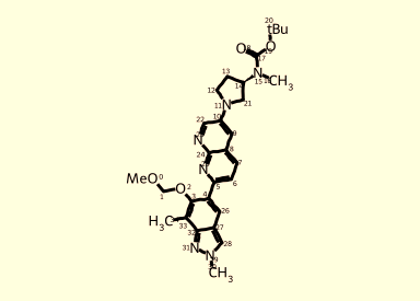 COCOc1c(-c2ccc3cc(N4CC[C@@H](N(C)C(=O)OC(C)(C)C)C4)cnc3n2)cc2cn(C)nc2c1C